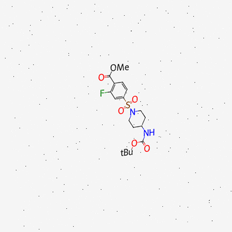 COC(=O)c1ccc(S(=O)(=O)N2CCC(NC(=O)OC(C)(C)C)CC2)cc1F